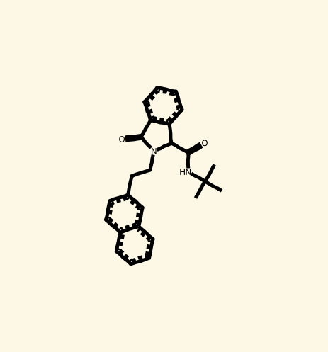 CC(C)(C)NC(=O)C1c2ccccc2C(=O)N1CCc1ccc2ccccc2c1